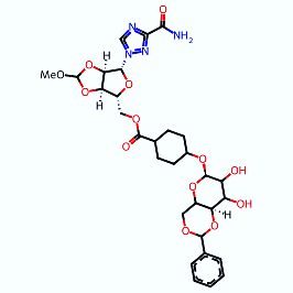 COC1O[C@@H]2[C@H](O1)[C@@H](COC(=O)C1CCC(O[C@@H]3OC4COC(c5ccccc5)O[C@@H]4C(O)C3O)CC1)O[C@H]2n1cnc(C(N)=O)n1